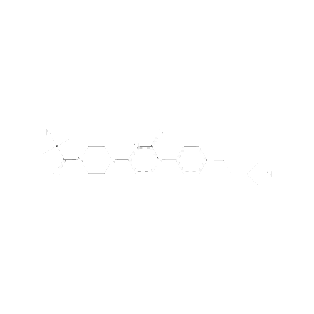 CC(C)(N)C(=O)N1CCN(c2ccn(-c3ccc(CCC4CNC4)cc3)c(=O)n2)CC1